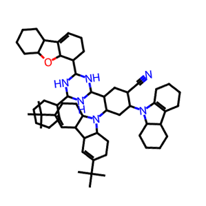 CC(C)(C)C1=CC2C3C=C(C(C)(C)C)CCC3N(C3CC(N4C5=C(CCCC5)C5CCCCC54)C(C#N)CC3C3NC(C4CCCCC4)NC(C4CCC=C5C6CCCCC6OC54)N3)C2CC1